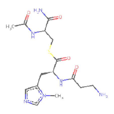 CC(=O)NC(CSC(=O)[C@H](Cc1cncn1C)NC(=O)CCN)C(N)=O